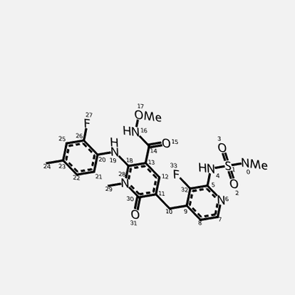 CNS(=O)(=O)Nc1nccc(Cc2cc(C(=O)NOC)c(Nc3ccc(C)cc3F)n(C)c2=O)c1F